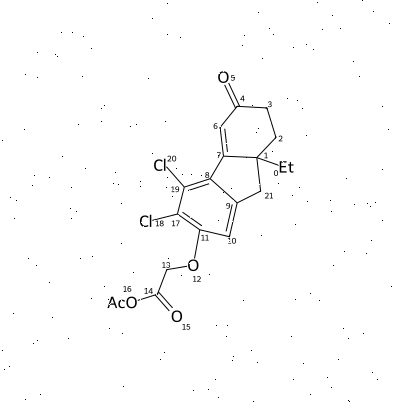 CCC12CCC(=O)C=C1c1c(cc(OCC(=O)OC(C)=O)c(Cl)c1Cl)C2